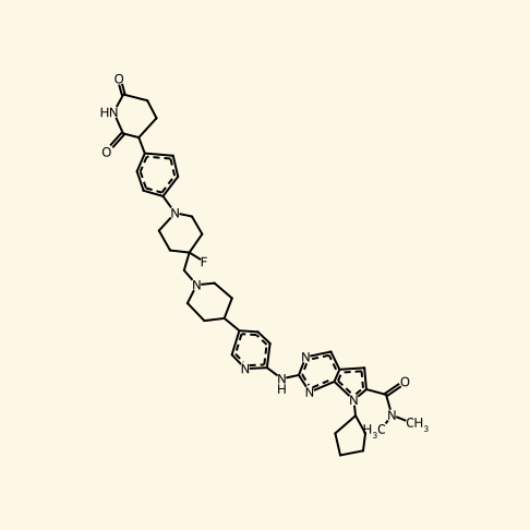 CN(C)C(=O)c1cc2cnc(Nc3ccc(C4CCN(CC5(F)CCN(c6ccc(C7CCC(=O)NC7=O)cc6)CC5)CC4)cn3)nc2n1C1CCCC1